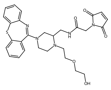 O=C(CN1C(=O)C=CC1=O)NCC1CN(C2=Nc3ccccc3Sc3ccccc32)CCN1CCOCCO